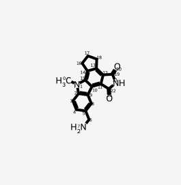 Cn1c2ccc(CN)cc2c2c3c(c4c(c21)CCC4)C(=O)NC3=O